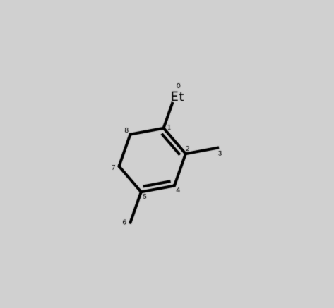 CCC1=C(C)C=C(C)CC1